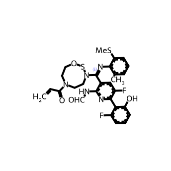 C=CC(=O)N1CCOSN(/C(=N/c2c(C)cccc2SC)c2cc(F)c(-c3c(O)cccc3F)nc2NC=O)CC1